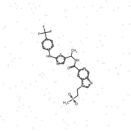 CC(NC(=O)c1cc2c(cn1)ncn2CCS(C)(=O)=O)c1cnc(Nc2ccc(C(F)(F)F)cc2)s1